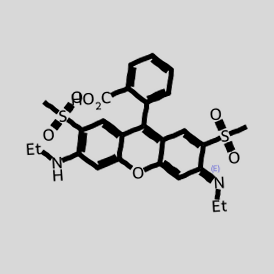 CC/N=c1\cc2oc3cc(NCC)c(S(C)(=O)=O)cc3c(-c3ccccc3C(=O)O)c-2cc1S(C)(=O)=O